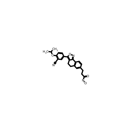 CC(C)Oc1ccc(-c2onc3c2CCc2cc(CCC(=O)N=O)ccc2-3)cc1C#N